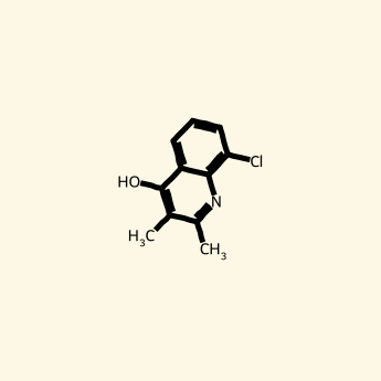 Cc1nc2c(Cl)cccc2c(O)c1C